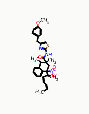 C=C(/C=C\C=C/C)C1([N+](=O)[O-])CC(C)(C(=O)Nc2nc(Cc3ccc(OC)cc3)cs2)C(C)c2ccccc21